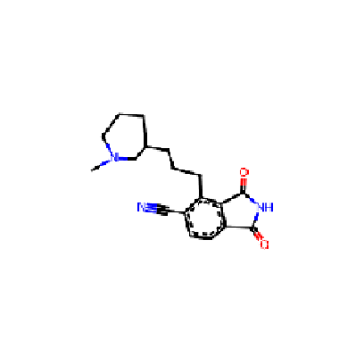 CN1CCCC(CCCc2c(C#N)ccc3c2C(=O)NC3=O)C1